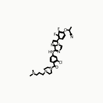 CC(C#N)Oc1ccc(-c2cnc3c(Nc4ccc(C(=O)N5CCN(CCCN(C)C)CC5)c(Cl)c4)nccn23)c(F)c1F